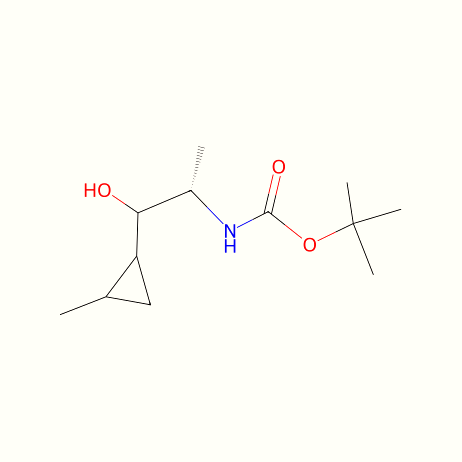 CC1CC1C(O)[C@H](C)NC(=O)OC(C)(C)C